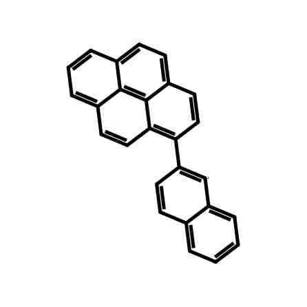 [c]1c(-c2ccc3ccc4cccc5ccc2c3c45)ccc2ccccc12